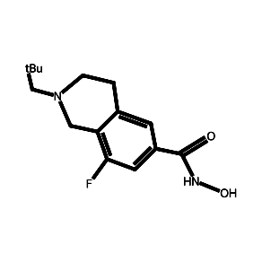 CC(C)(C)CN1CCc2cc(C(=O)NO)cc(F)c2C1